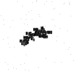 COC(C[C@@H](O)CCC(C)(C)CO[C@@H]1C[C@@H](O)[C@H](OC(C)(C)C2C[C@@H](O)C[C@@H](CO)O2)[C@@H](CO)O1)OC